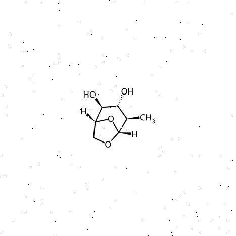 C[C@H]1[C@@H]2OC[C@@H](O2)[C@@H](O)[C@@H]1O